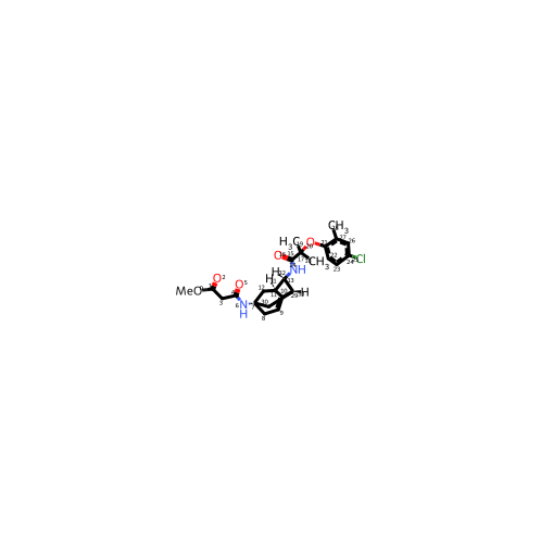 COC(=O)CC(=O)N[C@]12CC=C3[C@@H](C1)[C@@H](NC(=O)C(C)(C)Oc1ccc(Cl)cc1C)[C@H]3C2